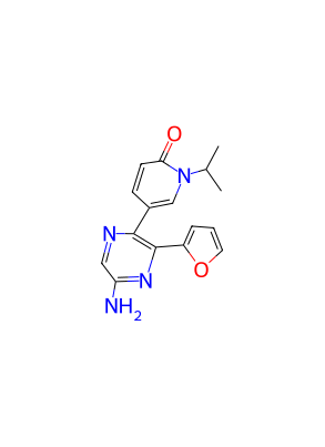 CC(C)n1cc(-c2ncc(N)nc2-c2ccco2)ccc1=O